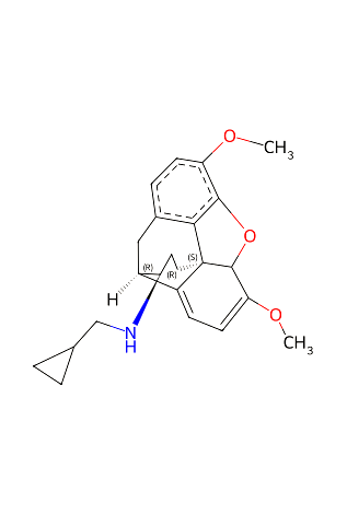 COC1=CC=C2[C@H]3Cc4ccc(OC)c5c4[C@@]2(CC[C@H]3NCC2CC2)C1O5